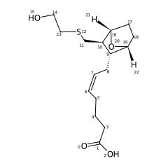 O=C(O)CCC/C=C\C[C@@H]1[C@@H](CSCCO)[C@@H]2CC[C@H]1O2